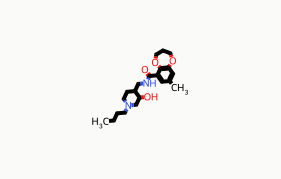 CCCCN1CCC(CNC(=O)c2cc(C)cc3c2OCCCO3)C(O)C1